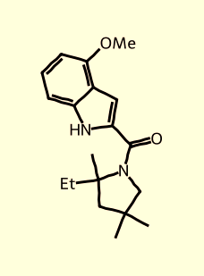 CCC1(C)CC(C)(C)CN1C(=O)c1cc2c(OC)cccc2[nH]1